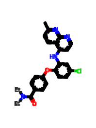 CCN(CC)C(=O)c1ccc(Oc2ccc(Cl)cc2Nc2ccnc3nc(C)ccc23)cc1